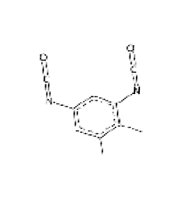 Cc1cc(N=C=O)cc(N=C=O)c1C